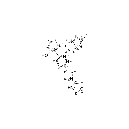 Cn1cc2cc(-c3cccc(O)c3-c3ccc(C4CN(C5COCN5)C4)nn3)ccc2n1